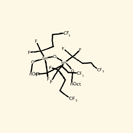 CCCCCCCC[O][Sn]([O][Sn]([O]CCCCCCCC)([C](F)(F)CCC(F)(F)F)[C](F)(F)CCC(F)(F)F)([C](F)(F)CCC(F)(F)F)[C](F)(F)CCC(F)(F)F